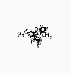 C=CCC(C(=O)OC1(C)CCCC1)C(F)(F)C(F)=C(F)F